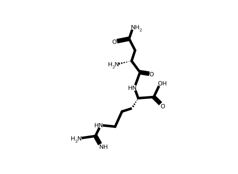 N=C(N)NCCC[C@H](NC(=O)[C@H](N)CC(N)=O)C(=O)O